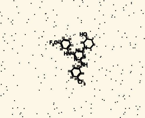 OC1CCCN(c2nc(Nc3cccc(C(F)(F)F)c3)nc(Nc3cccc(C(F)(F)F)c3)n2)C1